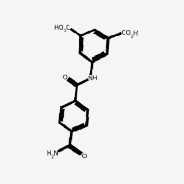 NC(=O)c1ccc(C(=O)Nc2cc(C(=O)O)cc(C(=O)O)c2)cc1